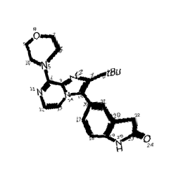 CC(C)(C)c1nc2c(N3CCOCC3)nccn2c1-c1ccc2c(c1)CC(=O)N2